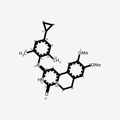 COc1cc2c(cc1OC)-c1c/c(=N\c3c(C)cc(C4CC4)cc3C)[nH]c(=O)n1CC2